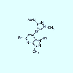 CNc1ccn(C)n1.Cc1nn(C(C)C)c2c(Br)cc(Br)nc12